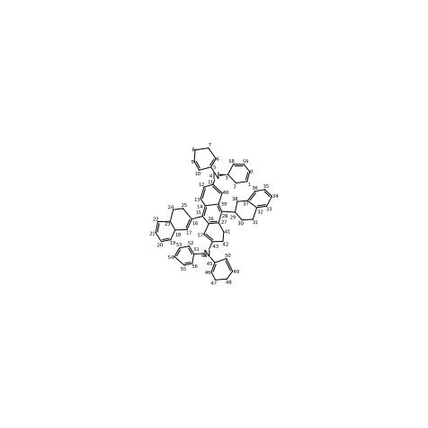 C1=CC[C@@H](N(C2=CCCC=C2)c2ccc3c(C4=CC5C=CC=CC5CC4)c4c(c(C5CCc6ccccc6C5)c3c2)CCC(N(C2=CCCC=C2)c2ccccc2)=C4)C=C1